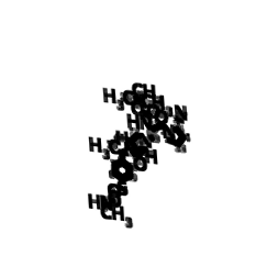 CNOOSc1ccc([C@H](C)N2C(=O)[C@@H]3C[C@H]2CN3C[C@H](NC(=O)OC(C)(C)C)C(=O)N2CCC[C@H]2C#N)cc1